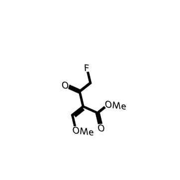 COC=C(C(=O)CF)C(=O)OC